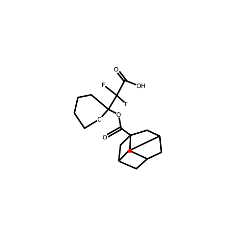 O=C(OC1(C(F)(F)C(=O)O)CCCCC1)C12CC3CC(CC(C3)C1)C2